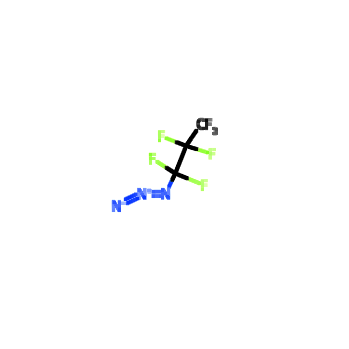 [N-]=[N+]=NC(F)(F)C(F)(F)C(F)(F)F